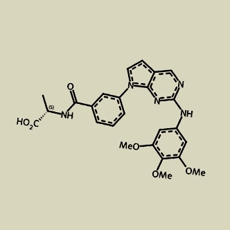 COc1cc(Nc2ncc3ccn(-c4cccc(C(=O)N[C@@H](C)C(=O)O)c4)c3n2)cc(OC)c1OC